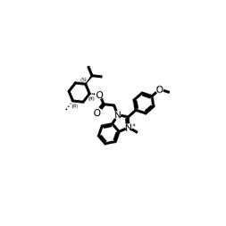 COc1ccc(-c2n(CC(=O)O[C@@H]3C[C@H](C)CC[C@H]3C(C)C)c3ccccc3[n+]2C)cc1